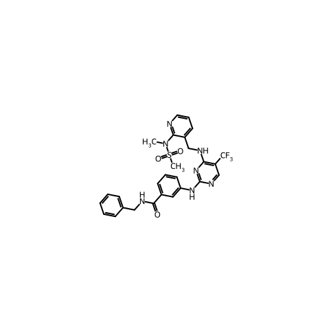 CN(c1ncccc1CNc1nc(Nc2cccc(C(=O)NCc3ccccc3)c2)ncc1C(F)(F)F)S(C)(=O)=O